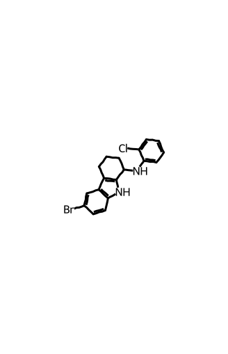 Clc1ccccc1NC1CCCc2c1[nH]c1ccc(Br)cc21